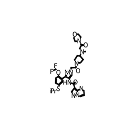 CC(C)Sc1ccc(OC(F)F)c(-c2nn(CC(=O)N3CCC(N(C)CC(=O)N4CCOCC4)CC3)cc2NC(=O)c2cnn3cccnc23)c1